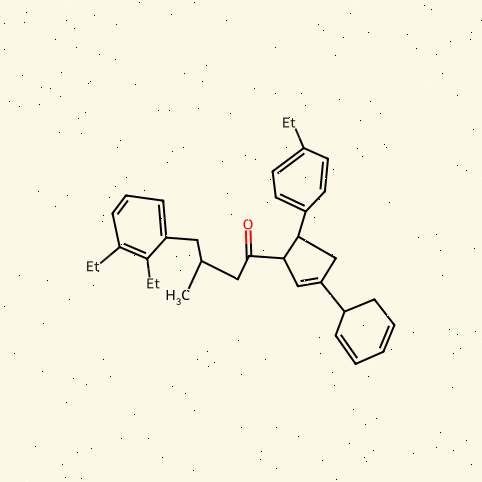 CCc1ccc(C2CC(C3C=CC=CC3)=CC2C(=O)CC(C)Cc2cccc(CC)c2CC)cc1